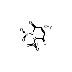 O=C(/C=C\C(=O)O[SH](=O)=O)O[SH](=O)=O.[CH3]